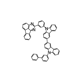 c1ccc(-c2cccc(-n3c4ccccc4c4cc(-c5ccc6c(c5)c5ccccc5n6-c5cccc(-c6nc7c8c(cccc8n6)-c6ccccc6-7)c5)ccc43)c2)cc1